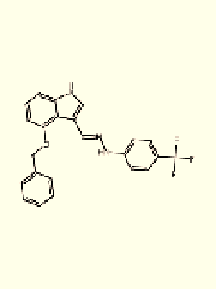 FC(F)(F)c1ccc(NN=Cc2c[nH]c3cccc(OCc4ccccc4)c23)cc1